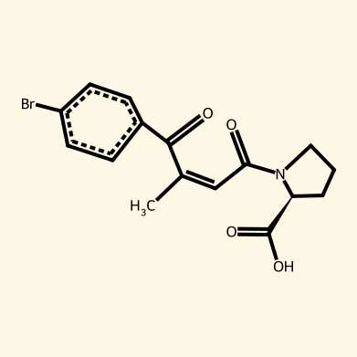 C/C(=C/C(=O)N1CCC[C@H]1C(=O)O)C(=O)c1ccc(Br)cc1